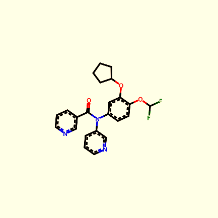 O=C(c1cccnc1)N(c1cccnc1)c1ccc(OC(F)F)c(OC2CCCC2)c1